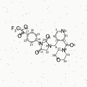 O=C(c1cnccc1CN1CC(=O)N(c2ccc(S(=O)(=O)C(F)(F)F)cc2)C1=O)N1CCOCC1